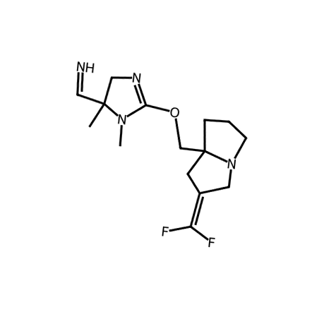 CN1C(OCC23CCCN2CC(=C(F)F)C3)=NCC1(C)C=N